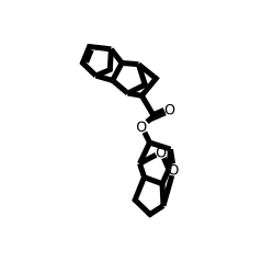 O=C(OC1C2OC3C1OC1CCC2C13)C1CC2CC1C1C3C=CC(C3)C21